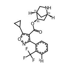 [2H]c1cccc(-c2noc(C3CC3)c2C(=O)O[C@@H]2C[C@@H]3C[C@H]2CN3)c1C(F)(F)F